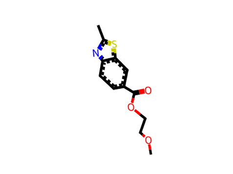 COCCOC(=O)c1ccc2nc(C)sc2c1